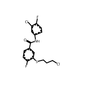 O=C(Nc1ccc(F)c(Cl)c1)c1ccc(F)c(SCCCCl)c1